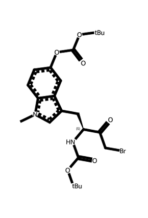 Cn1cc(C[C@H](NC(=O)OC(C)(C)C)C(=O)CBr)c2cc(OC(=O)OC(C)(C)C)ccc21